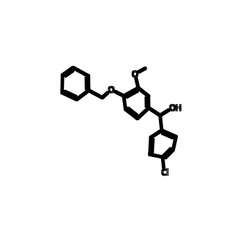 COc1cc(C(O)c2ccc(Cl)cc2)ccc1OCc1ccccc1